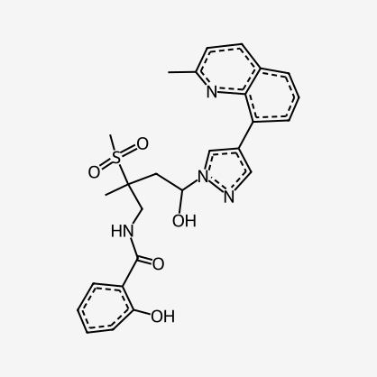 Cc1ccc2cccc(-c3cnn(C(O)CC(C)(CNC(=O)c4ccccc4O)S(C)(=O)=O)c3)c2n1